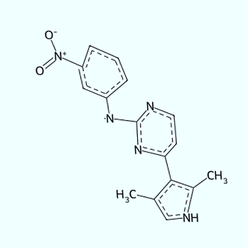 Cc1c[nH]c(C)c1-c1ccnc([N]c2cccc([N+](=O)[O-])c2)n1